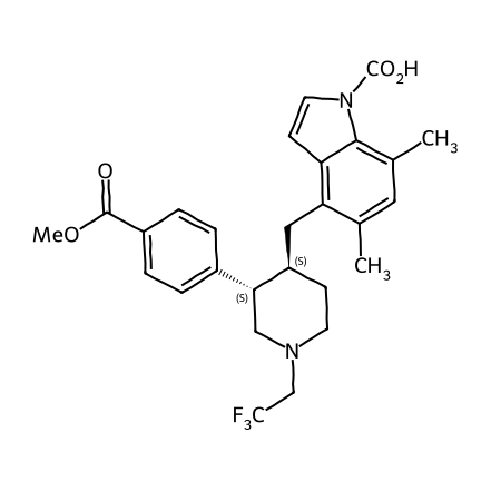 COC(=O)c1ccc([C@H]2CN(CC(F)(F)F)CC[C@@H]2Cc2c(C)cc(C)c3c2ccn3C(=O)O)cc1